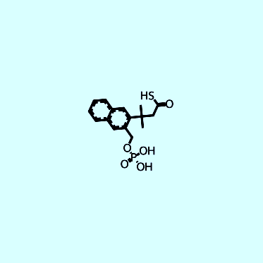 CC(C)(CC(=O)S)c1cc2ccccc2cc1COP(=O)(O)O